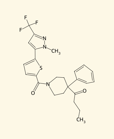 CCCC(=O)C1(c2ccccc2)CCN(C(=O)c2ccc(-c3cc(C(F)(F)F)nn3C)s2)CC1